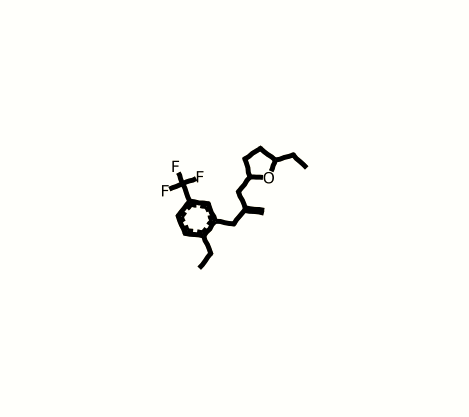 C=C(Cc1cc(C(F)(F)F)ccc1CC)CC1CCC(CC)O1